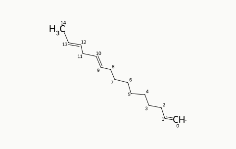 [CH]=CCCCCCCCC=CCC=CC